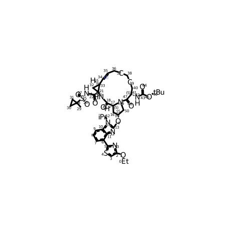 CCOc1csc(-c2cccc3c2nc(O[C@@H]2C[C@H]4C(=O)N[C@]5(C(=O)NS(=O)(=O)C6(C)CC6)C[C@H]5/C=C\CCCCC[C@H](NC(=O)OC(C)(C)C)C(=O)N4C2)n3C(C)C)n1